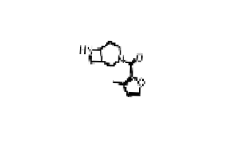 Cc1ccoc1C(=O)N1CCC2NCC2C1